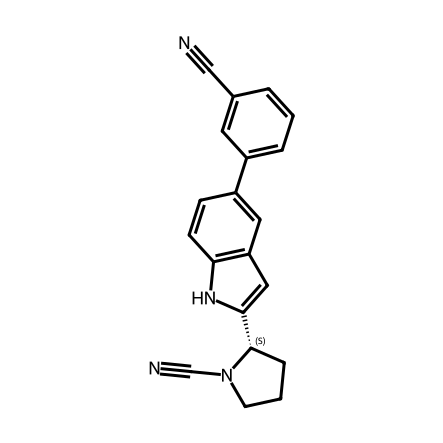 N#Cc1cccc(-c2ccc3[nH]c([C@@H]4CCCN4C#N)cc3c2)c1